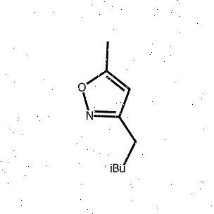 CCC(C)Cc1cc(C)on1